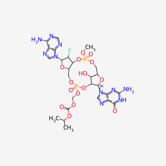 COP1(=O)OCC2O[C@@H](n3cnc4c(=O)[nH]c(N)nc43)C(OP(=O)(OCOC(=O)OC(C)C)OCC3OC(n4cnc5c(N)ncnc54)C(F)C3O1)C2O